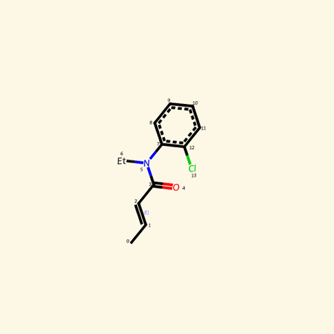 C/C=C/C(=O)N(CC)c1ccccc1Cl